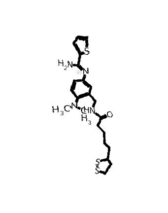 CN(C)c1ccc(/N=C(\N)c2cccs2)cc1CNC(=O)CCCCC1CCSS1